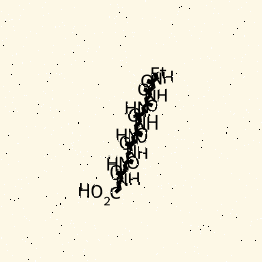 CCNC(=O)CC(=O)NCC(=O)NCC(=O)NCC(=O)NCC(=O)NCC(=O)NCC(=O)NCCC(=O)O